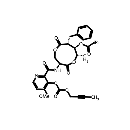 CC#CCOC(=O)Oc1c(OC)ccnc1C(=O)N[C@H]1COC(=O)[C@H](Cc2ccccc2)[C@@H](OC(=O)C(C)C)[C@H](C)OC1=O